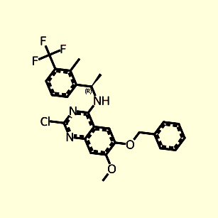 COc1cc2nc(Cl)nc(N[C@H](C)c3cccc(C(F)(F)F)c3C)c2cc1OCc1ccccc1